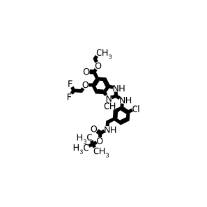 CCOC(=O)c1cc2c(cc1OCC(F)F)N(C)C(Nc1cc(CNC(=O)OC(C)(C)C)ccc1Cl)N2